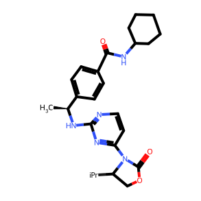 CC(C)C1COC(=O)N1c1ccnc(N[C@@H](C)c2ccc(C(=O)NC3CCCCC3)cc2)n1